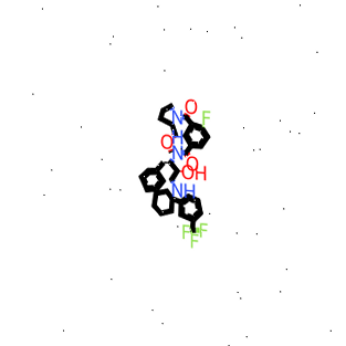 COCC1CCCN1C(=O)c1cc(C(=O)N[C@@H](Cc2ccccc2)[C@H](O)CNC2(c3cccc(C(F)(F)F)c3)CCCCC2)ccc1F